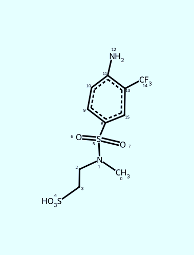 CN(CCS(=O)(=O)O)S(=O)(=O)c1ccc(N)c(C(F)(F)F)c1